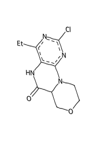 CCc1nc(Cl)nc2c1NC(=O)C1COCCN21